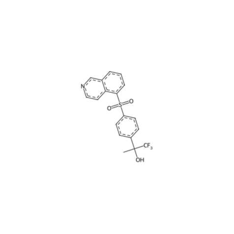 CC(O)(c1ccc(S(=O)(=O)c2cccc3cnccc23)cc1)C(F)(F)F